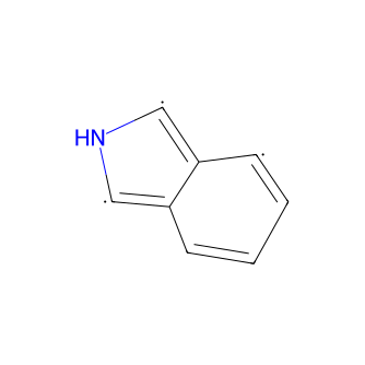 [c]1cccc2[c][nH][c]c12